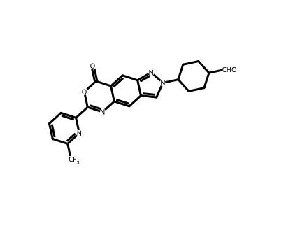 O=CC1CCC(n2cc3cc4nc(-c5cccc(C(F)(F)F)n5)oc(=O)c4cc3n2)CC1